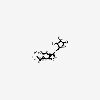 CCC1C(COc2nsc3cc(C(N)=O)c(OC)cc23)NC(=O)C1F